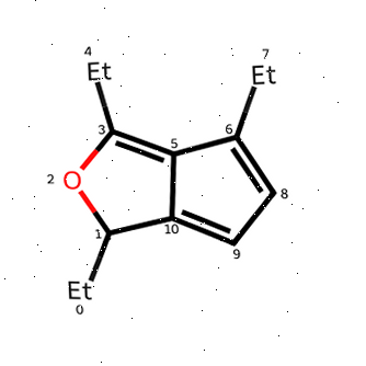 CC[C]1OC(CC)=C2C(CC)=CC=C12